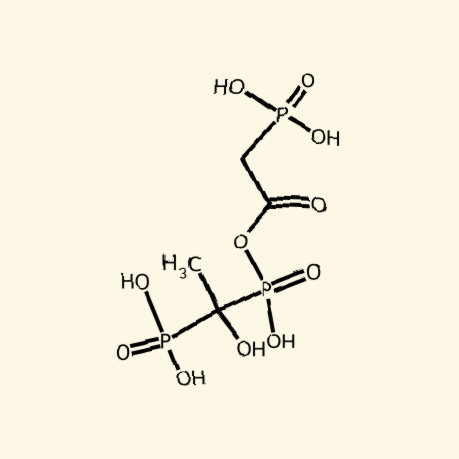 CC(O)(P(=O)(O)O)P(=O)(O)OC(=O)CP(=O)(O)O